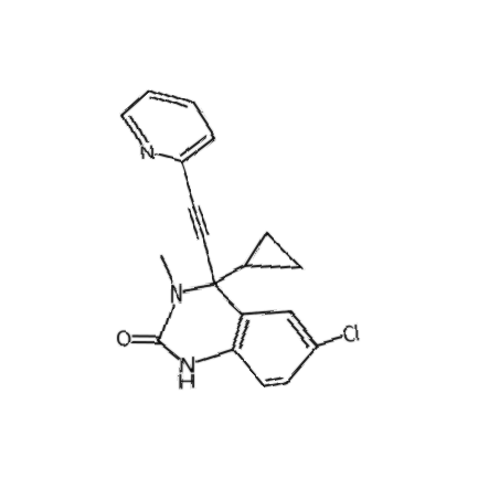 CN1C(=O)Nc2ccc(Cl)cc2C1(C#Cc1ccccn1)C1CC1